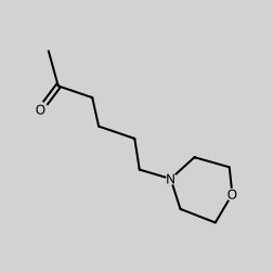 CC(=O)CCCCN1CCOCC1